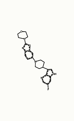 Fc1cnc2c(C3CCN(c4ccc5nc(N6CCOCC6)sc5c4)CC3)c[nH]c2c1